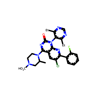 CCc1ncnc(CC)c1-n1c(=O)nc(N2CCN(C(=O)O)CC2C)c2cc(Cl)c(-c3ccccc3F)nc21